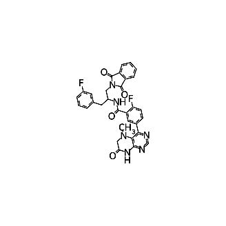 CN1CC(=O)Nc2ncnc(-c3ccc(F)c(C(=O)NC(Cc4cccc(F)c4)CN4C(=O)c5ccccc5C4=O)c3)c21